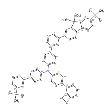 CCCCCCCCC1(CCCCCCCC)c2cc(-c3cccc(-c4ccc(N(c5ccc(-c6cccc(C(C)(CC)CC)c6)cc5)c5ccc(-c6cccc7c6CC7)cc5)cc4)c3)ccc2-c2ccc(C(C)(CC)CC)cc21